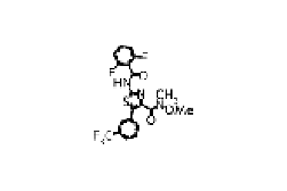 CON(C)C(=O)c1nc(NC(=O)c2c(F)cccc2F)sc1-c1cccc(C(F)(F)F)c1